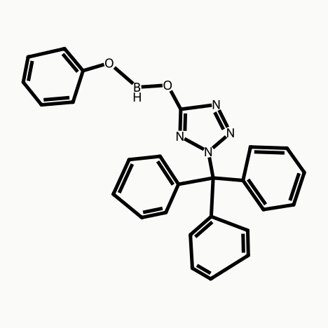 B(Oc1ccccc1)Oc1nnn(C(c2ccccc2)(c2ccccc2)c2ccccc2)n1